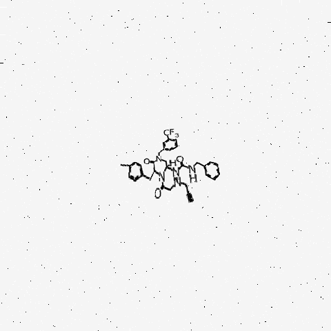 C#CCN1CC(=O)N2[C@@H](Cc3ccc(C)cc3)C(=O)N(Cc3cccc(C(F)(F)F)c3)C[C@@H]2N1C(=O)NCc1ccccc1